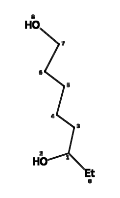 [CH2]CC(O)CCCCCO